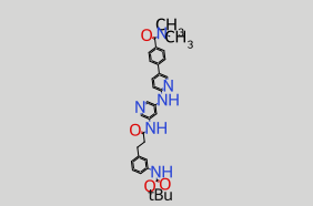 CN(C)C(=O)c1ccc(-c2ccc(Nc3cncc(NC(=O)CCc4cccc(NC(=O)OC(C)(C)C)c4)c3)nc2)cc1